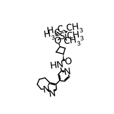 CC(C)(C)[Si](C)(C)O[C@H]1C[C@@H](C(=O)Nc2cc(-c3cnn4c3CCCC4)ccn2)C1